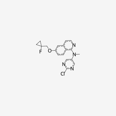 CN(c1cnc(Cl)nc1)c1nccc2cc(OCC3(F)CC3)ccc12